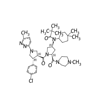 Cc1ccc(N2C[C@@H](C(=O)N3C[C@@H](N(C(=O)C(C)(C)C)C4CCC(C)(C)CC4)C[C@H]3C(=O)N3CCN(C)CC3)[C@H](c3ccc(Cl)cc3)C2)nn1